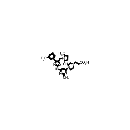 Cc1nc(Nc2nc(-c3cc(F)cc(C(F)(F)F)c3)c(CN3[C@H](C)CC[C@H]3C)s2)cc(N2CCN(CCC(=O)O)CC2)n1